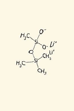 C[Si](C)(C)O[Si](C)([O-])[O-].[Li+].[Li+]